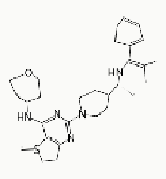 C=S1CCc2nc(N3CCC([C@@H](C)NC(C4=CC=CCC4)=C(C)C)CC3)nc(NC3CCOCC3)c21